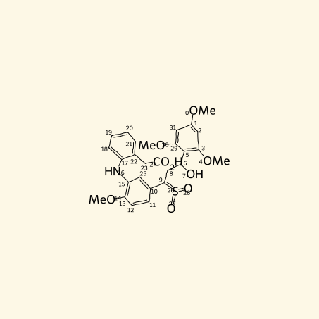 COc1cc(OC)c(C(O)CC(c2ccc(OC)c(Nc3ccccc3CC(=O)O)c2)=S(=O)=O)c(OC)c1